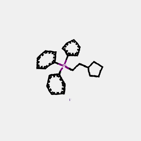 [I-].c1ccc([P+](CCC2CCCC2)(c2ccccc2)c2ccccc2)cc1